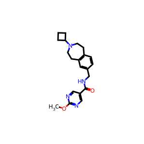 COc1ncc(C(=O)NCc2ccc3c(c2)CCN(C2CCC2)CC3)cn1